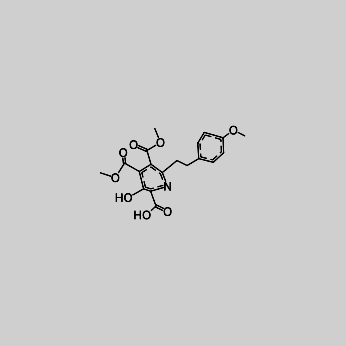 COC(=O)c1c(CCc2ccc(OC)cc2)nc(C(=O)O)c(O)c1C(=O)OC